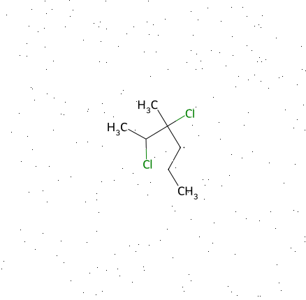 CC[CH]C(C)(Cl)C(C)Cl